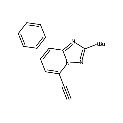 C#Cc1cccc2nc(C(C)(C)C)nn12.c1ccccc1